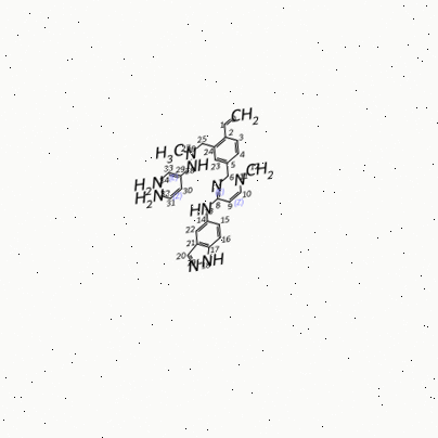 C=Cc1ccc(C/N=C(\C=C/N=C)Nc2ccc3[nH]ncc3c2)cc1CN(C)NC(/C=C\N)=C/N